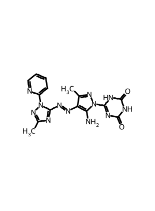 Cc1nc(/N=N/c2c(C)nn(-c3nc(=O)[nH]c(=O)[nH]3)c2N)n(-c2ccccn2)n1